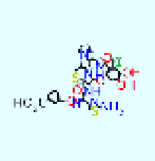 Nc1nc(/C(=N/OCc2cccc(C(=O)O)c2)C(=O)N[C@@H]2C(=O)N3C(C(=O)O)=C(C[N+]4(CCNC(=O)c5ccc(O)c(O)c5Cl)CCCC4)CS[C@H]23)cs1